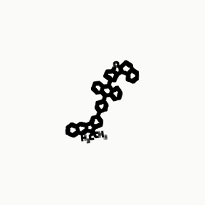 CC1(C)c2ccc(-c3ccc(-c4c5ccccc5c(-c5ccc6oc7ccc8ccccc8c7c6c5)c5ccccc45)cc3)cc2-c2cc3ccccc3cc21